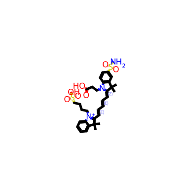 CC1(C)C(/C=C/C=C/C=C2\N(CCC(=O)O)c3ccc(S(N)(=O)=O)cc3C2(C)C)=[N+](CCCCS(=O)(=O)O)c2ccccc21